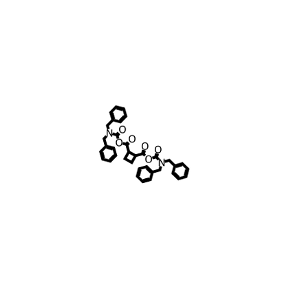 O=C(OC(=O)N(Cc1ccccc1)Cc1ccccc1)C1CCC1C(=O)OC(=O)N(Cc1ccccc1)Cc1ccccc1